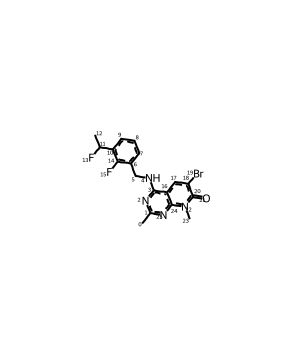 Cc1nc(NCc2cccc(C(C)F)c2F)c2cc(Br)c(=O)n(C)c2n1